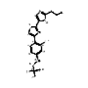 CCCc1ncc(-c2nc(-c3ccc(NSC(F)(F)F)cc3Cl)cs2)s1